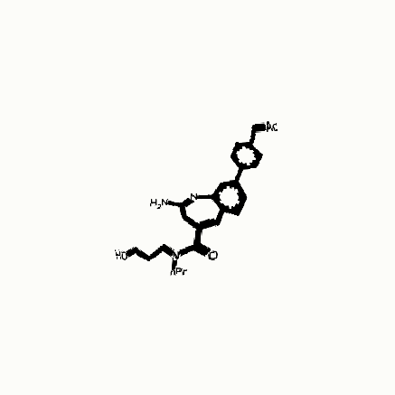 CCCN(CCCO)C(=O)C1=Cc2ccc(-c3ccc(CC(C)=O)cc3)cc2N=C(N)C1